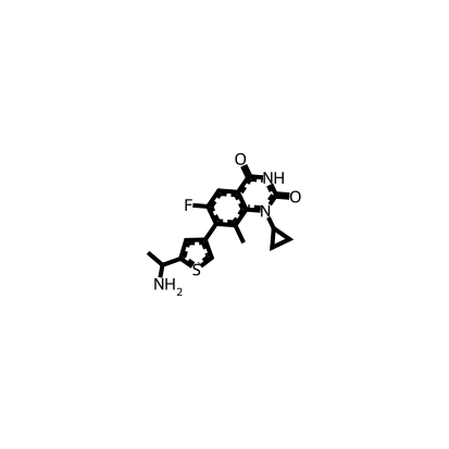 Cc1c(-c2csc(C(C)N)c2)c(F)cc2c(=O)[nH]c(=O)n(C3CC3)c12